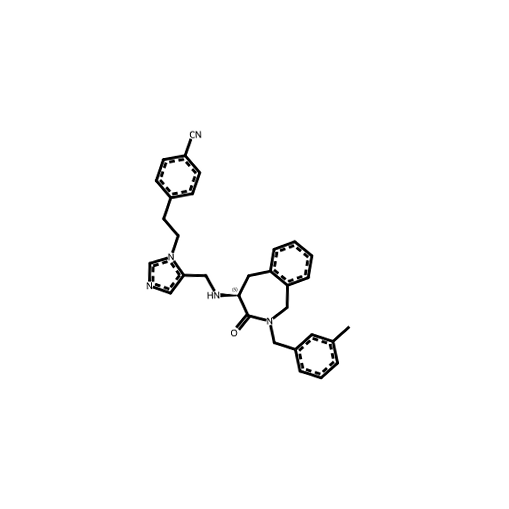 Cc1cccc(CN2Cc3ccccc3C[C@H](NCc3cncn3CCc3ccc(C#N)cc3)C2=O)c1